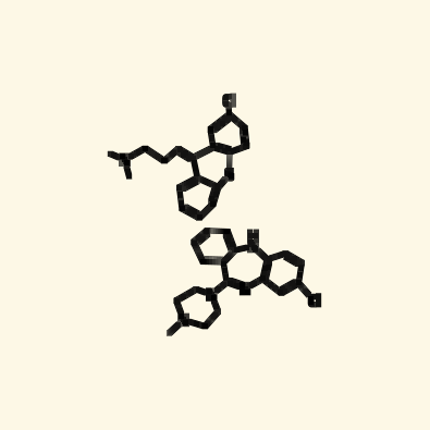 CN(C)CC/C=C1\c2ccccc2Sc2ccc(Cl)cc21.CN1CCN(C2=Nc3cc(Cl)ccc3Nc3ccccc32)CC1